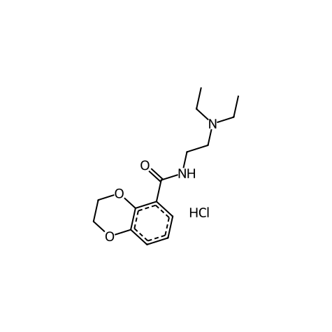 CCN(CC)CCNC(=O)c1cccc2c1OCCO2.Cl